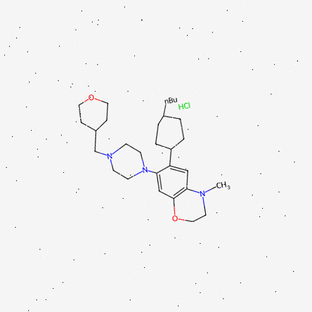 CCCCC1CCC(c2cc3c(cc2N2CCN(CC4CCOCC4)CC2)OCCN3C)CC1.Cl